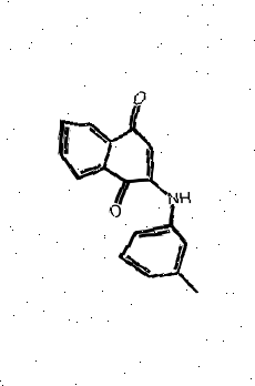 Cc1cccc(NC2=CC(=O)c3ccccc3C2=O)c1